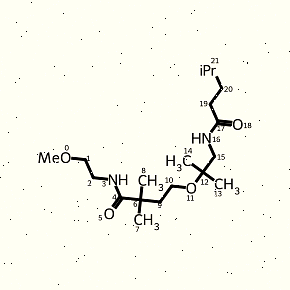 COCCNC(=O)C(C)(C)CCOC(C)(C)CNC(=O)CCC(C)C